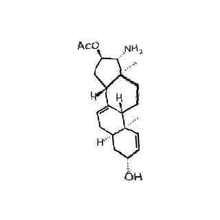 CC(=O)O[C@@H]1C[C@H]2C3=CC[C@@H]4C[C@@H](O)C=C[C@]4(C)[C@H]3CC[C@]2(C)[C@H]1N